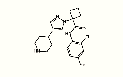 O=C(Nc1ccc(C(F)(F)F)cc1Cl)C1(n2cc(C3CCNCC3)cn2)CCC1